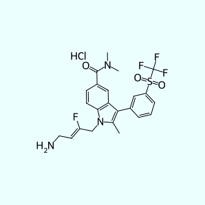 Cc1c(-c2cccc(S(=O)(=O)C(F)(F)F)c2)c2cc(C(=O)N(C)C)ccc2n1C/C(F)=C/CN.Cl